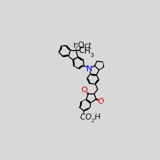 CCCCCCCCC1(C)c2ccccc2-c2ccc(N3c4ccc(CC5C(=O)c6ccc(C(=O)O)cc6C5=O)cc4C4CCCC43)cc21